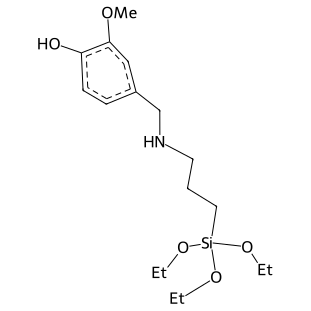 CCO[Si](CCCNCc1ccc(O)c(OC)c1)(OCC)OCC